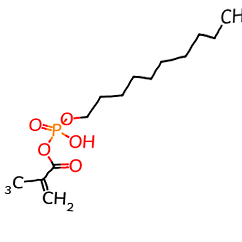 C=C(C)C(=O)OP(=O)(O)OCCCCCCCCCC=O